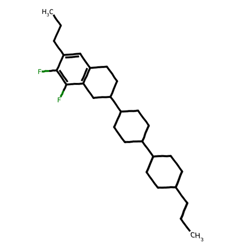 CCCc1cc2c(c(F)c1F)CC(C1CCC(C3CCC(CCC)CC3)CC1)CC2